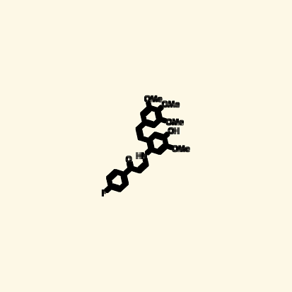 COc1cc(N/C=C\C(=O)c2ccc(F)cc2)c(/C=C\c2cc(OC)c(OC)c(OC)c2)cc1O